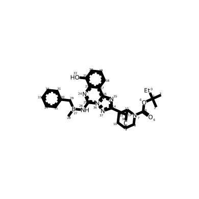 CCC(C)(C)OC(=O)N1CC2CCC1C(c1nc3c4cccc(O)c4nc(NB(C)Cc4ccccc4)n3n1)C2